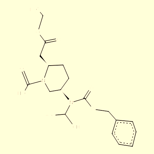 CCOC(=O)C[C@H]1CC[C@@H](N(C(=O)OCc2ccccc2)C(C)C)CN1C(=O)O